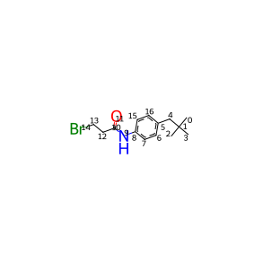 CC(C)(C)Cc1ccc(NC(=O)CCBr)cc1